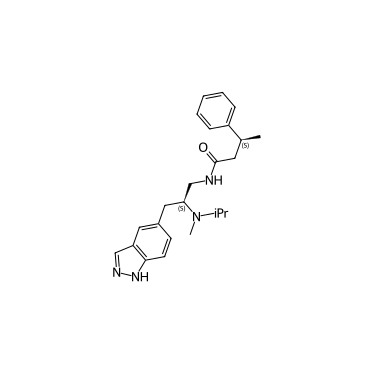 CC(C)N(C)[C@H](CNC(=O)C[C@H](C)c1ccccc1)Cc1ccc2[nH]ncc2c1